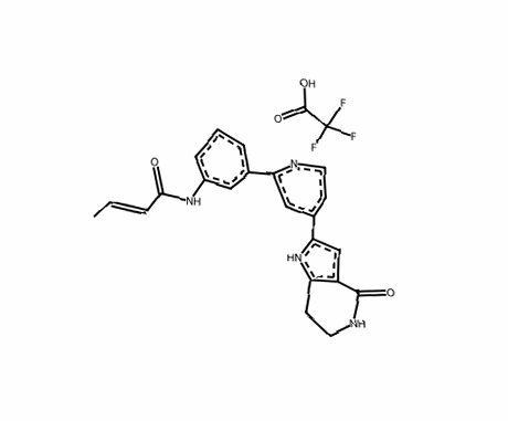 CC=CC(=O)Nc1cccc(-c2cc(-c3cc4c([nH]3)CCNC4=O)ccn2)c1.O=C(O)C(F)(F)F